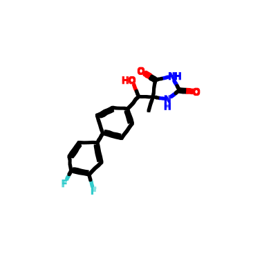 CC1(C(O)c2ccc(-c3ccc(F)c(F)c3)cc2)NC(=O)NC1=O